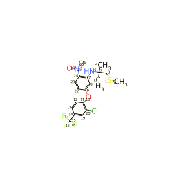 CSCC(C)(C)Nc1cc(Oc2ccc(C(F)(F)F)cc2Cl)ccc1[N+](=O)[O-]